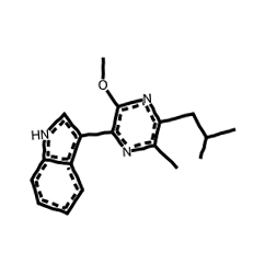 COc1nc(CC(C)C)c(C)nc1-c1c[nH]c2ccccc12